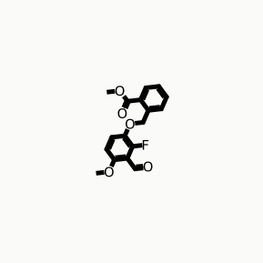 COC(=O)c1ccccc1COc1ccc(OC)c(C=O)c1F